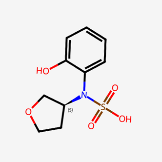 O=S(=O)(O)N(c1ccccc1O)[C@H]1CCOC1